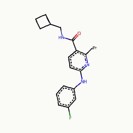 CC(C)c1nc(Nc2cccc(F)c2)ccc1C(=O)NCC1CCC1